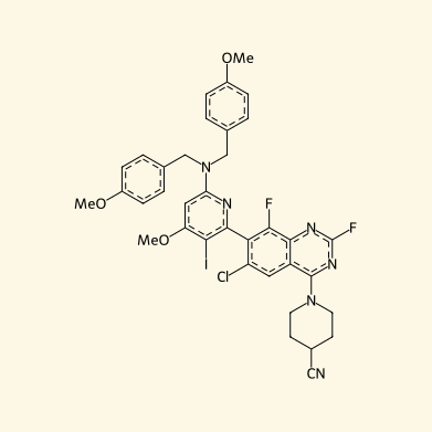 COc1ccc(CN(Cc2ccc(OC)cc2)c2cc(OC)c(I)c(-c3c(Cl)cc4c(N5CCC(C#N)CC5)nc(F)nc4c3F)n2)cc1